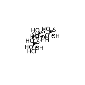 C.C.Cl.OP(O)(O)=S.OP(O)(O)=S.OP(O)(O)=S